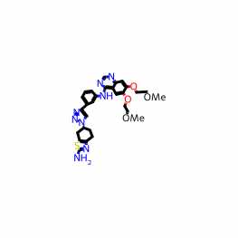 COCCOc1cc2ncnc(Nc3cccc(-c4cn([C@H]5CCc6nc(N)sc6C5)nn4)c3)c2cc1OCCOC